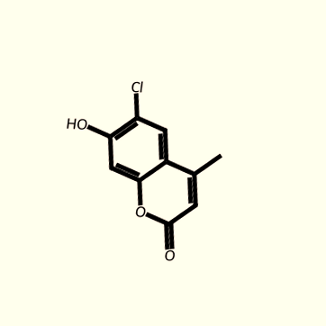 Cc1cc(=O)oc2cc(O)c(Cl)cc12